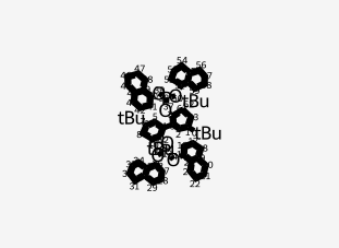 CC(C)(C)c1cc(-c2cc(C(C)(C)C)cc(C(C)(C)C)c2OP(Oc2cccc3ccccc23)Oc2cccc3ccccc23)c(OP(Oc2cccc3ccccc23)Oc2cccc3ccccc23)c(C(C)(C)C)c1